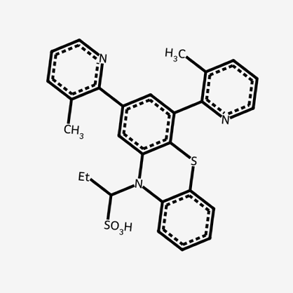 CCC(N1c2ccccc2Sc2c(-c3ncccc3C)cc(-c3ncccc3C)cc21)S(=O)(=O)O